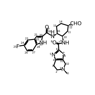 CN1CCc2nc(C(=O)N[C@@H]3C[C@H](C=O)CC[C@@H]3NC(=O)c3cc4cc(F)ccc4[nH]3)sc2C1